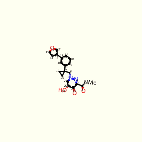 CNC(=O)c1nn(CC2(c3cccc(-c4ccoc4)c3)CC2)cc(O)c1=O